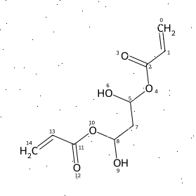 C=CC(=O)OC(O)CC(O)OC(=O)C=C